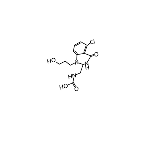 O=C(O)NCC1NC(=O)c2c(Cl)cccc2N1CCCO